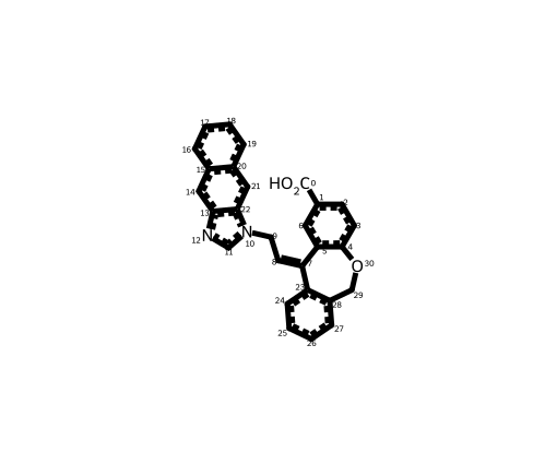 O=C(O)c1ccc2c(c1)C(=CCn1cnc3cc4ccccc4cc31)c1ccccc1CO2